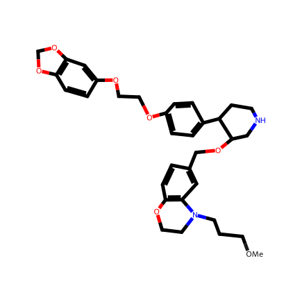 COCCCN1CCOc2ccc(COC3CNCCC3c3ccc(OCCOc4ccc5c(c4)OCO5)cc3)cc21